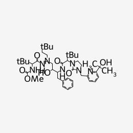 COC(=O)NC(C(=O)NN(CCC(C)(C)C)CC(O)C(Cc1ccccc1)NC(=O)C(N1CCN(Cc2cccc(C(C)(C)O)n2)C1=O)C(C)(C)C)C(C)(C)C